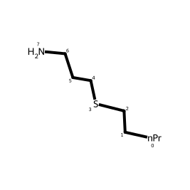 CCCCCSCCCN